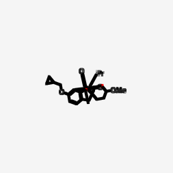 COC1CCC2(CC1)Cc1ccc(OCC3CC3)cc1C21NC(=O)N(C(C)C)C1=O